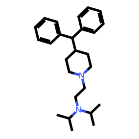 CC(C)N(CCN1CCC(C(c2ccccc2)c2ccccc2)CC1)C(C)C